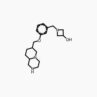 OC1CN(Cc2cccc(OCC3CCC4CNCCN4C3)c2)C1